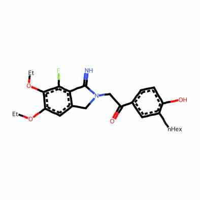 CCCC[CH]Cc1cc(C(=O)CN2Cc3cc(OCC)c(OCC)c(F)c3C2=N)ccc1O